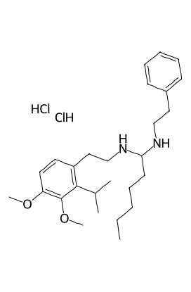 CCCCCC(NCCc1ccccc1)NCCc1ccc(OC)c(OC)c1C(C)C.Cl.Cl